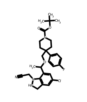 CC(OCC1(c2ccc(F)cc2)CCN(C(=O)OC(C)(C)C)CC1)c1cc(Cl)cc2c1N(CC#N)NC2